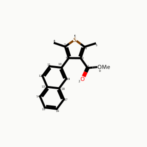 COC(=O)c1c(C)sc(C)c1-c1ccc2ccccc2c1